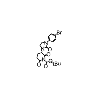 CC(C)(C)OC(=O)N1C(=O)CCC(N2CCN(c3ccc(Br)cc3)C2=O)C1=O